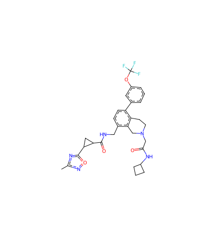 Cc1noc(C2CC2C(=O)NCc2ccc(-c3cccc(OC(F)(F)F)c3)c3c2CN(CC(=O)NC2CCC2)CC3)n1